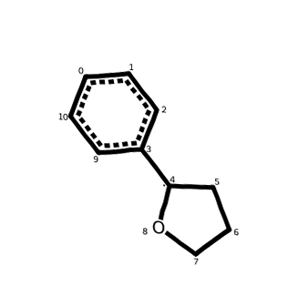 c1ccc([C]2CCCO2)cc1